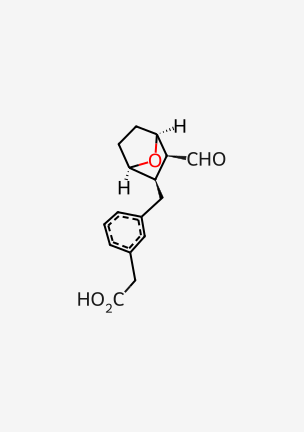 O=C[C@H]1[C@@H](Cc2cccc(CC(=O)O)c2)[C@H]2CC[C@@H]1O2